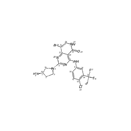 N[C@@H]1CCN(c2nc(Nc3ccc(Cl)c(C(F)(F)F)c3)c3c(=O)[nH]cc(Br)c3n2)C1